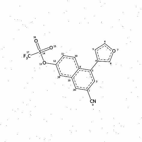 N#Cc1cc(-c2ccoc2)c2ccc(OS(=O)(=O)C(F)(F)F)cc2c1